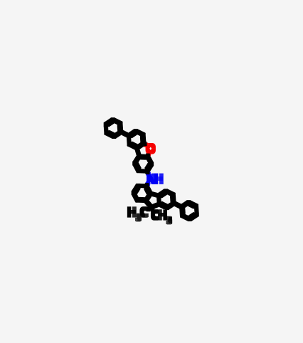 CC1(C)c2cc(-c3ccccc3)ccc2-c2c(Nc3ccc4c(c3)oc3ccc(-c5ccccc5)cc34)cccc21